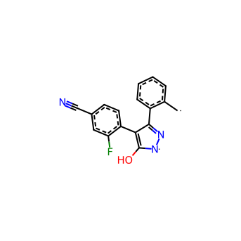 [CH2]c1ccccc1C1=N[N]C(O)=C1c1ccc(C#N)cc1F